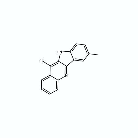 Cc1ccc2[nH]c3c(Cl)c4ccccc4nc3c2c1